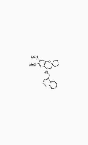 COc1cc2c(cc1OC)[C@@H](NCc1cccc3ccccc13)CC1(CCCC1)O2